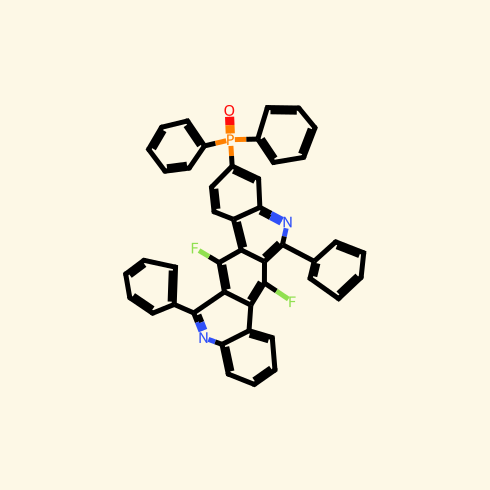 O=P(c1ccccc1)(c1ccccc1)c1ccc2c(c1)nc(-c1ccccc1)c1c(F)c3c(c(-c4ccccc4)nc4ccccc43)c(F)c12